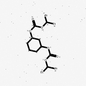 CCC(OC(=O)OC1CCCC(OC(=O)OC(CC)C(C)C)C1)C(C)C